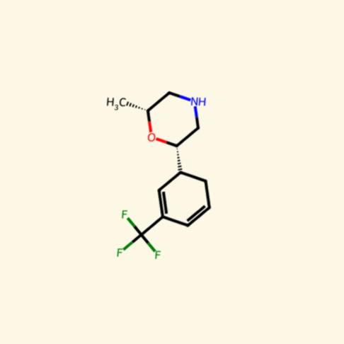 C[C@@H]1CNC[C@H](C2C=C(C(F)(F)F)C=CC2)O1